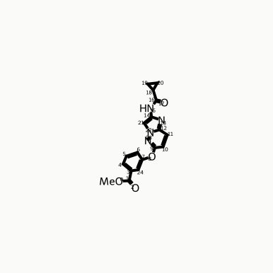 COC(=O)c1cccc(Oc2ccc3nc(NC(=O)C4CC4)cn3n2)c1